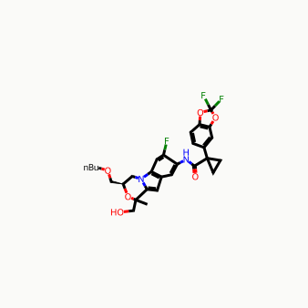 CCCCOC[C@H]1Cn2c(cc3cc(NC(=O)C4(c5ccc6c(c5)OC(F)(F)O6)CC4)c(F)cc32)C(C)(CO)O1